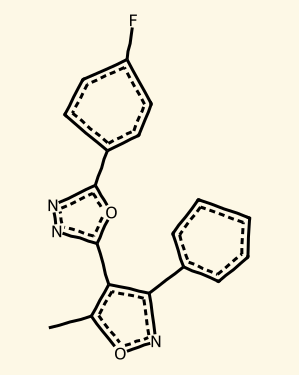 Cc1onc(-c2ccccc2)c1-c1nnc(-c2ccc(F)cc2)o1